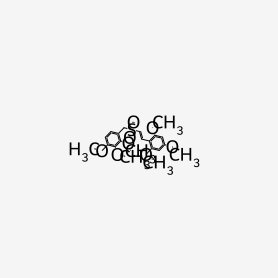 COc1cc(OC)c(/C=C/S(=O)(=O)Cc2ccc(OC)c(OC)c2OC)c(OC)c1